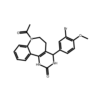 COc1ccc(C2NC(=O)NC3=C2CCN(C(C)=O)c2ccccc23)cc1Br